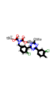 COc1nc(-c2ccc(C)c(Cl)c2)nc(-c2cc(CN(C(=O)OC(C)(C)C)C(=O)OC(C)(C)C)ccc2Cl)n1